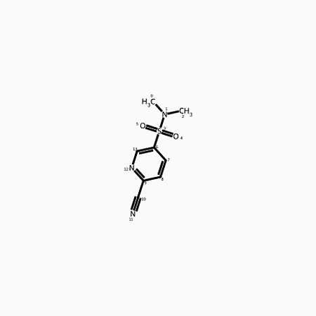 CN(C)S(=O)(=O)c1ccc(C#N)nc1